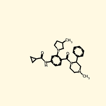 CC1CCN(c2cc(NC(=O)C3CC3)ccc2C(=O)N2CCN(C)CC2c2ccccc2)C1